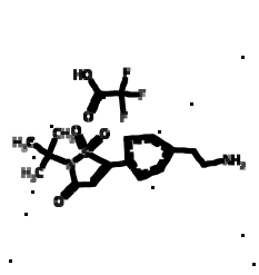 CC(C)(C)N1C(=O)C=C(c2ccc(CCN)cc2)S1(=O)=O.O=C(O)C(F)(F)F